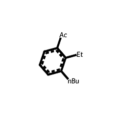 CCCCc1cccc(C(C)=O)c1CC